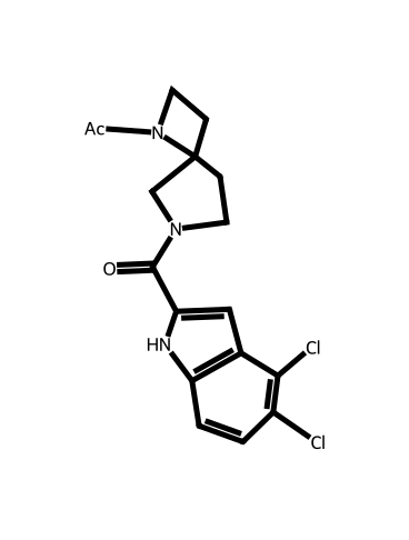 CC(=O)N1CCC12CCN(C(=O)c1cc3c(Cl)c(Cl)ccc3[nH]1)C2